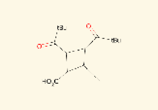 CC1C(C(=O)O)C(C(=O)C(C)(C)C)C1C(=O)C(C)(C)C